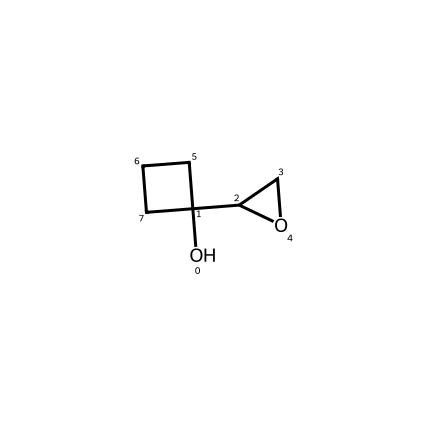 OC1(C2CO2)CCC1